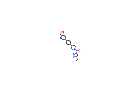 CCc1cc(C(=O)N2CCC(c3ccc(-c4ccc(CO)nc4)cc3)CC2)nn1C